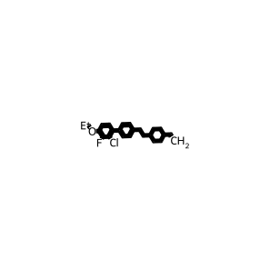 C=CC1CCC(CCc2ccc(-c3ccc(OCC)c(F)c3Cl)cc2)CC1